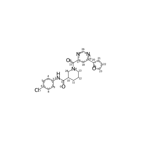 O=C(Nc1ccc(Cl)cc1)C1CCCN(C(=O)c2cc(-c3ccco3)ncn2)C1